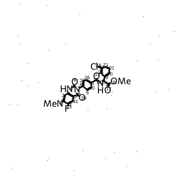 CNc1cc2[nH]c(=O)n(-c3ccc(C(=O)NC(C(=O)OC)c4cccc(Cl)c4)cc3)c(=O)c2cc1F